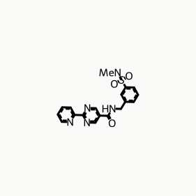 CNS(=O)(=O)c1cccc(CNC(=O)c2cnc(-c3ccccn3)nc2)c1